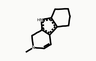 CN1C=Cc2c([nH]c3c2CCCC3)C1